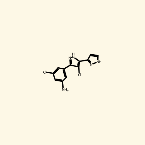 Nc1cc(Cl)cc(-c2n[nH]c(-c3cc[nH]n3)c2Cl)c1